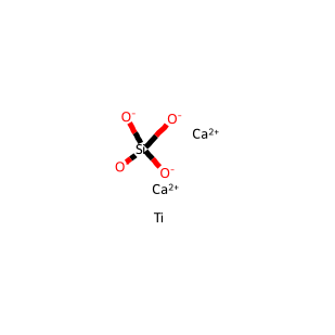 [Ca+2].[Ca+2].[O-][Si]([O-])([O-])[O-].[Ti]